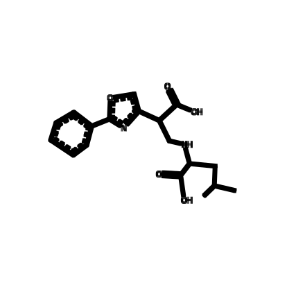 CC(C)CC(NCC(C(=O)O)c1coc(-c2ccccc2)n1)C(=O)O